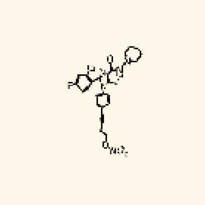 Cc1c(C(=O)NN2CCCCC2)nc(-c2ccc(F)cc2Cl)n1-c1ccc(C#CCCO[N+](=O)[O-])cc1